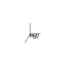 CCCCCCCCCCCCCC(CCCCCCCCCCCC)(CCCCCCCCCCCC)C(=S)OCC(C)(CO)CO